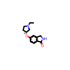 CCN1CC[C@@H](Oc2ccc3c(c2)CNC3=O)C1